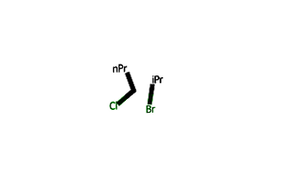 CC(C)Br.CCCCCl